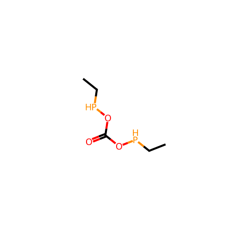 CCPOC(=O)OPCC